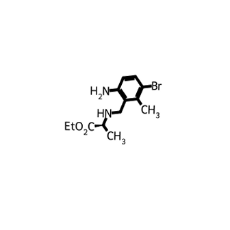 CCOC(=O)[C@H](C)NCc1c(N)ccc(Br)c1C